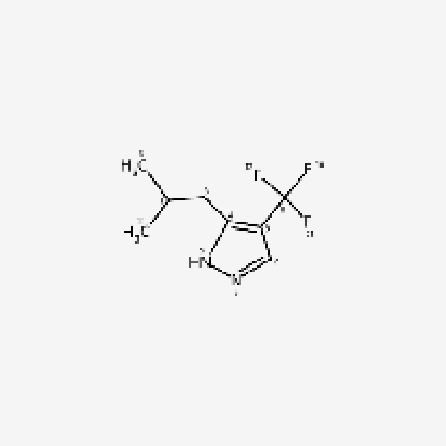 CC(C)Cc1[nH]ncc1C(F)(F)F